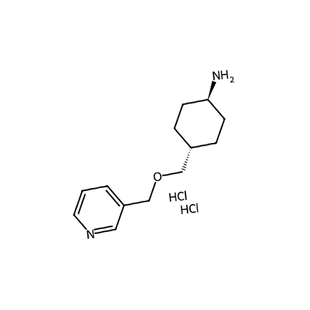 Cl.Cl.N[C@H]1CC[C@H](COCc2cccnc2)CC1